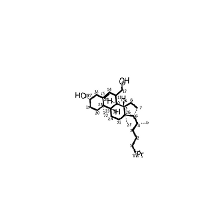 CC(C)CCC[C@@H](C)[C@H]1CC[C@H]2[C@@H]3C(CO)C=C4C[C@@H](O)CC[C@]4(C)[C@H]3CC[C@]12C